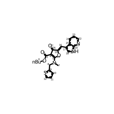 CCCCOC(=O)C1=C(N(C)Cc2cccs2)OC(=Cc2c[nH]c3ncccc23)C1=O